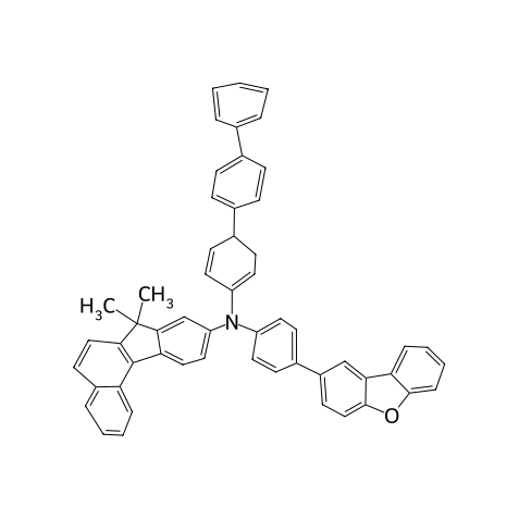 CC1(C)c2cc(N(C3=CCC(c4ccc(-c5ccccc5)cc4)C=C3)c3ccc(-c4ccc5oc6ccccc6c5c4)cc3)ccc2-c2c1ccc1ccccc21